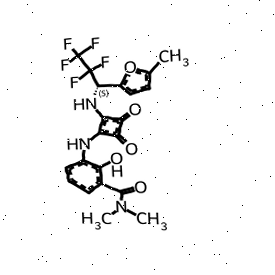 Cc1ccc([C@H](Nc2c(Nc3cccc(C(=O)N(C)C)c3O)c(=O)c2=O)C(F)(F)C(F)(F)F)o1